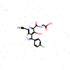 C#Cc1nc(C(=O)NCC(=O)O)c(O)c2c(-c3ccc(Cl)cc3)nsc12